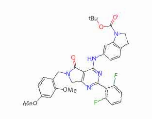 COc1ccc(CN2Cc3nc(-c4c(F)cccc4F)nc(Nc4ccc5c(c4)N(C(=O)OC(C)(C)C)CC5)c3C2=O)c(OC)c1